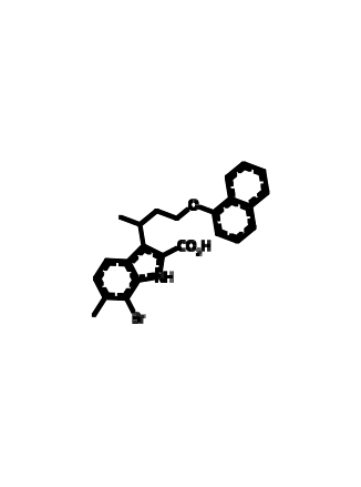 Cc1ccc2c(C(C)CCOc3cccc4ccccc34)c(C(=O)O)[nH]c2c1Br